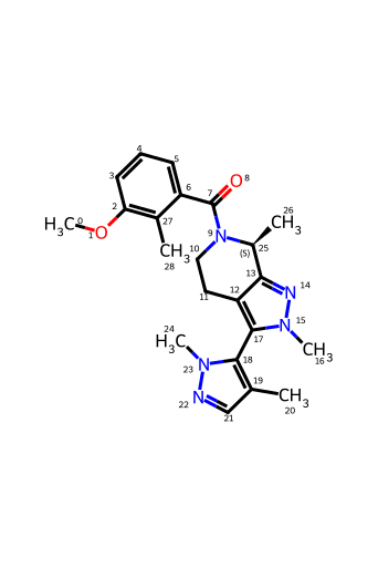 COc1cccc(C(=O)N2CCc3c(nn(C)c3-c3c(C)cnn3C)[C@@H]2C)c1C